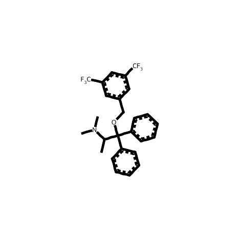 CC(N(C)C)C(OCc1cc(C(F)(F)F)cc(C(F)(F)F)c1)(c1ccccc1)c1ccccc1